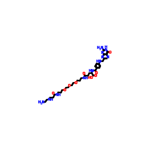 NCCNCCC(=O)NCCCOCCOCCOCCCNC(=O)CCC(NC(=O)c1ccc(NCc2cnc3c(=O)[nH]c(N)nc3n2)cc1)C(=O)O